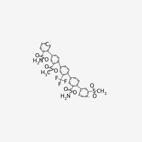 CS(=O)(=O)c1[c]ccc(-c2ccc(-c3ccc(-c4ccc(-c5ccccc5S(N)(=O)=O)cc4S(C)(=O)=O)cc3C(F)(F)F)cc2S(N)(=O)=O)c1